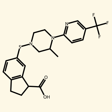 CC1CN(Sc2ccc3c(c2)C(C(=O)O)CC3)CCN1c1ccc(C(F)(F)F)cn1